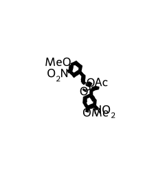 COc1ccc(C=CS(=O)(=O)/C(=C\C(C)=O)c2ccc(OC)c([N+](=O)[O-])c2)cc1[N+](=O)[O-]